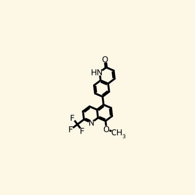 COc1ccc(-c2ccc3[nH]c(=O)ccc3c2)c2ccc(C(F)(F)F)nc12